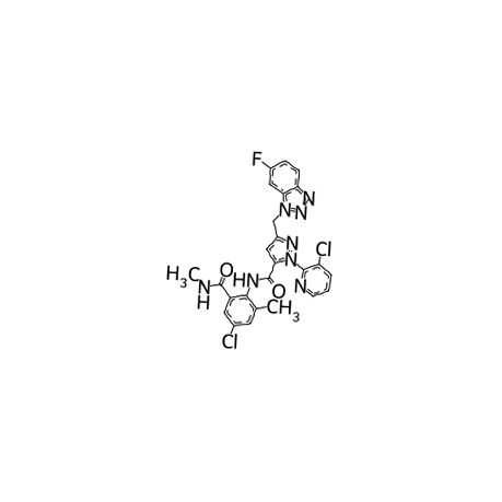 CNC(=O)c1cc(Cl)cc(C)c1NC(=O)c1cc(Cn2nnc3ccc(F)cc32)nn1-c1ncccc1Cl